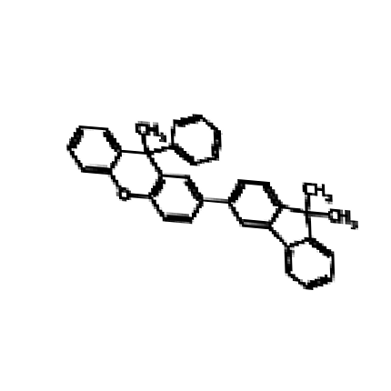 CC1(C)c2ccccc2-c2cc(-c3ccc4c(c3)C(C)(c3ccccc3)c3ccccc3O4)ccc21